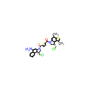 Cc1cc2c(c3c(C)csc13)[C@H](CCl)CN2C(=O)c1ccc(C(=O)N2C[C@@H](CCl)c3c2cc(N)c2ccccc32)s1